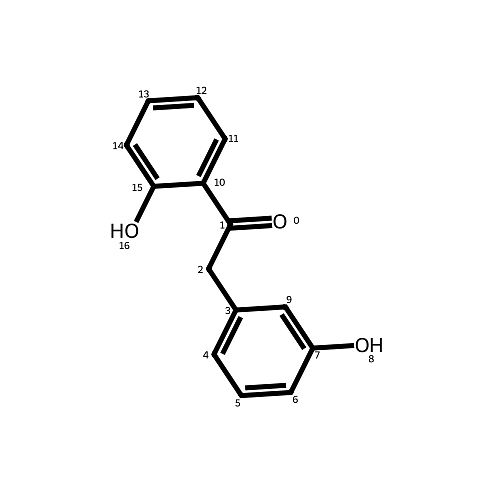 O=C(Cc1cccc(O)c1)c1ccccc1O